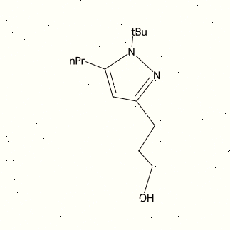 CCCc1cc(CCCO)nn1C(C)(C)C